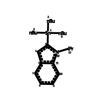 CCC[CH2][Sn]([CH2]CCC)([CH2]CCC)[c]1cc2ccccc2n1C(C)C